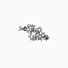 COc1cc(C(=O)NC[C@@](O)(c2ccccc2)c2cc(C(C)(C)O)cc(-c3ccc4c(c3Cl)OC(F)(F)O4)n2)cc2cn(C3CC3)nc12